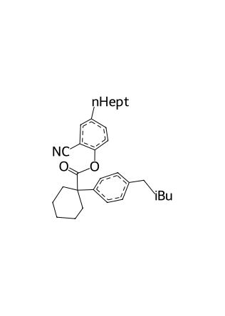 CCCCCCCc1ccc(OC(=O)C2(c3ccc(CC(C)CC)cc3)CCCCC2)c(C#N)c1